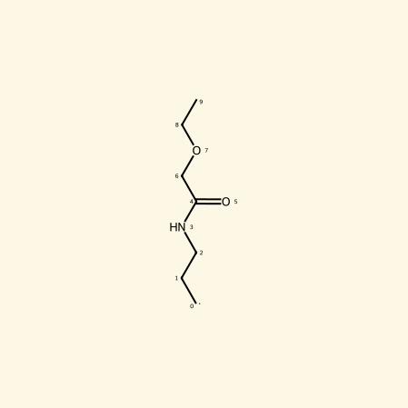 [CH2]CCNC(=O)COCC